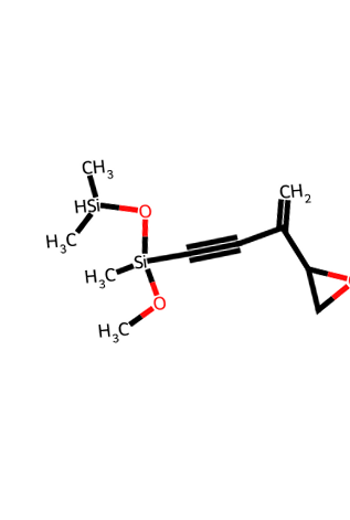 C=C(C#C[Si](C)(OC)O[SiH](C)C)C1CO1